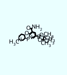 CN1CC[C@H](Oc2ncc(B3OC(C)(C)C(C)(C)O3)cc2C(N)=O)[C@@H](F)C1